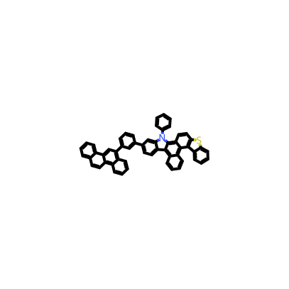 c1ccc(-n2c3cc(-c4cccc(-c5cc6c7ccccc7ccc6c6ccccc56)c4)ccc3c3c4ccccc4c4c(ccc5sc6ccccc6c54)c32)cc1